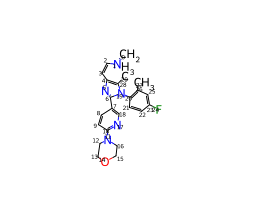 C=N/C=C\c1nc(-c2ccc(N3CCOCC3)nc2)n(-c2ccc(F)cc2C)c1C